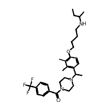 CCC(C)NCCCCOc1ccc(C(C)N2CCN(C(=O)c3ccc(C(F)(F)F)cc3)CC2)c(C)c1C